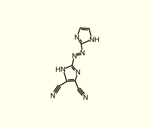 N#Cc1nc(/N=N/c2ncc[nH]2)[nH]c1C#N